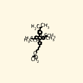 C=CC(=O)OCCCCCc1ccc(-c2c3ccc(C(C)(C)C)cc3c(-c3ccc(C(=C)CC)cc3)c3ccc(C(C)(C)C)cc23)cc1